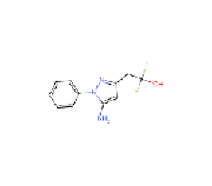 Nc1cc(CC(O)(F)F)nn1-c1ccccc1